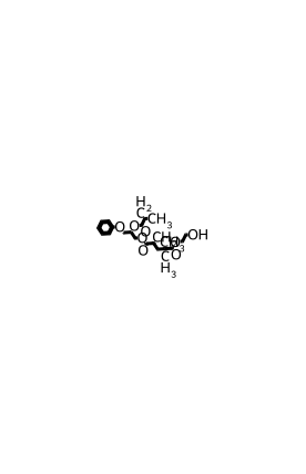 C=C(C)C(=O)OC(COC(=O)C(=C)CC(C)(C)C(=O)OCCO)COc1ccccc1